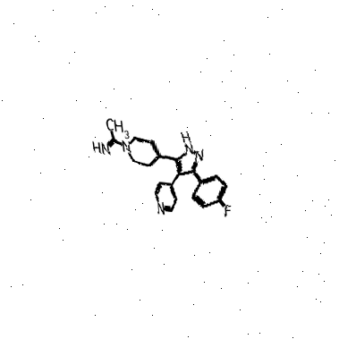 CC(=N)N1CCC(c2[nH]nc(-c3ccc(F)cc3)c2-c2ccncc2)CC1